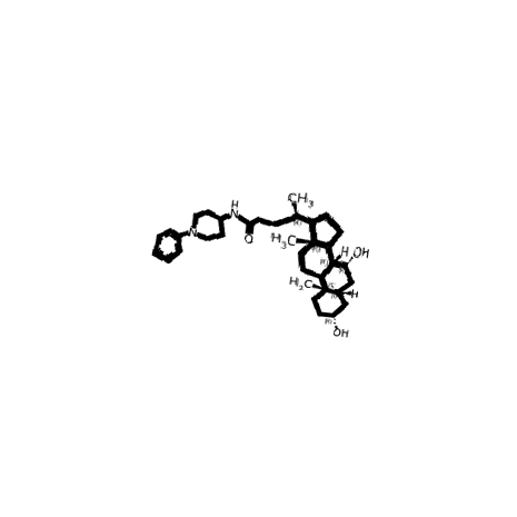 C[C@H](CCC(=O)NC1CCN(c2ccccc2)CC1)C1CCC2[C@H]3C(CC[C@@]21C)[C@@]1(C)CC[C@@H](O)C[C@H]1C[C@H]3O